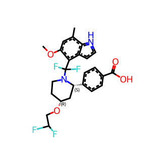 COc1cc(C)c2[nH]ccc2c1C(F)(F)N1CC[C@@H](OCC(F)F)C[C@H]1c1ccc(C(=O)O)cc1